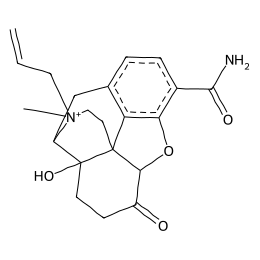 C=CC[N+]1(C)CCC23c4c5ccc(C(N)=O)c4OC2C(=O)CCC3(O)C1C5